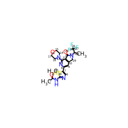 CC(=O)NC1=NC=C(c2cc3c(c(N4CCOCC4)n2)C(=O)N(C(C)C(F)(F)F)C3)[SH]1C